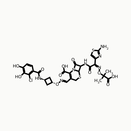 CC(C)(O/N=C(\C(=O)NC1C(=O)N2C(C(=O)O)=C(C=NO[C@H]3C[C@H](NC(=O)c4ccc(O)c(O)c4Cl)C3)CSC12)c1csc(N)n1)C(=O)O